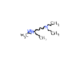 C=CCNC(CC=C)CCCCCN(CC=C)CC=C